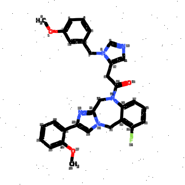 COc1cccc(Cn2cncc2CC(=O)N2Cc3nc(-c4ccccc4OC)cn3Cc3c(F)cccc32)c1